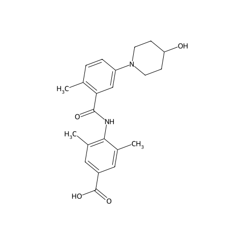 Cc1ccc(N2CCC(O)CC2)cc1C(=O)Nc1c(C)cc(C(=O)O)cc1C